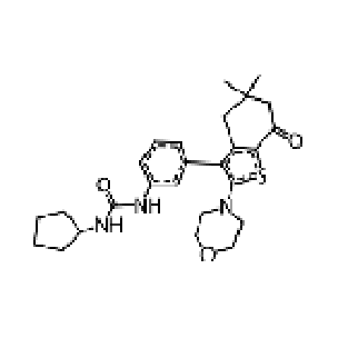 CC1(C)CC(=O)c2sc(N3CCOCC3)c(-c3cccc(NC(=O)NC4CCCC4)c3)c2C1